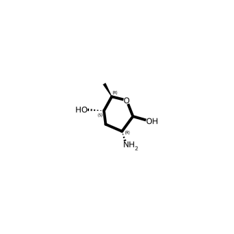 C[C@H]1OC(O)[C@H](N)C[C@@H]1O